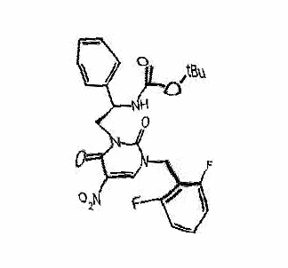 CC(C)(C)OC(=O)N[C@@H](Cn1c(=O)c([N+](=O)[O-])cn(Cc2c(F)cccc2F)c1=O)c1ccccc1